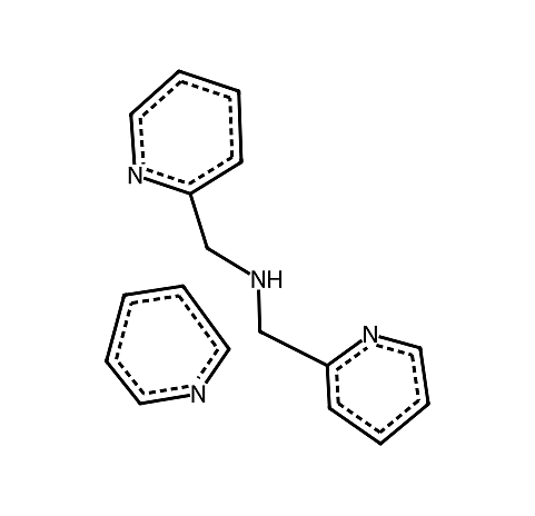 c1ccc(CNCc2ccccn2)nc1.c1ccncc1